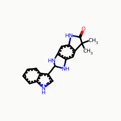 CC1(C)C(=O)Nc2cc3c(cc21)NC(c1c[nH]c2ccccc12)N3